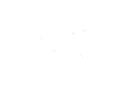 Cl.Cl.O=C(NC1CC(Oc2ccc(F)nc2)C1)C1CNCC1c1ccccc1